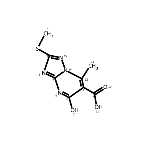 CSc1nc2nc(O)c(C(=O)O)c(C)n2n1